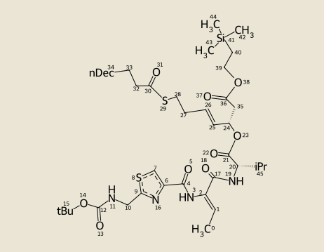 C/C=C(\NC(=O)c1csc(CNC(=O)OC(C)(C)C)n1)C(=O)N[C@H](C(=O)O[C@H](/C=C/CCSC(=O)CCCCCCCCCCCC)CC(=O)OCC[Si](C)(C)C)C(C)C